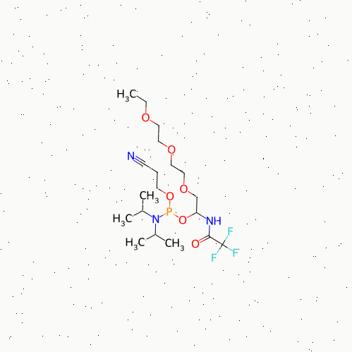 CCOCCOCCOCC(NC(=O)C(F)(F)F)OP(OCCC#N)N(C(C)C)C(C)C